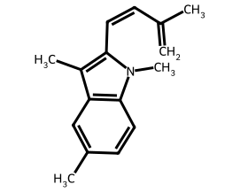 C=C(C)/C=C\c1c(C)c2cc(C)ccc2n1C